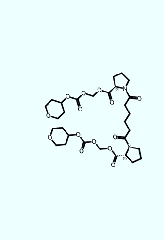 O=C(OCOC(=O)[C@H]1CCCN1C(=O)CCCCC(=O)N1CCC[C@@H]1C(=O)OCOC(=O)OC1CCOCC1)OC1CCOCC1